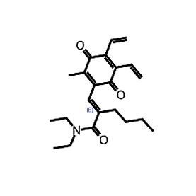 C=CC1=C(C=C)C(=O)C(/C=C(\CCCC)C(=O)N(CC)CC)=C(C)C1=O